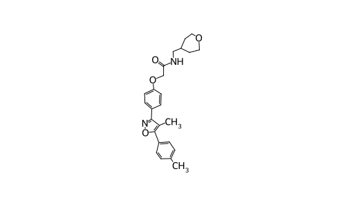 Cc1ccc(-c2onc(-c3ccc(OCC(=O)NCC4CCOCC4)cc3)c2C)cc1